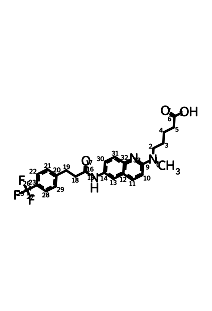 CN(CCCCC(=O)O)c1ccc2cc(NC(=O)CCc3ccc(C(F)(F)F)cc3)ccc2n1